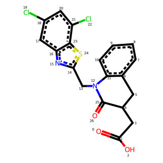 O=C(O)CC1Cc2ccccc2N(Cc2nc3cc(Cl)cc(Cl)c3s2)C1=O